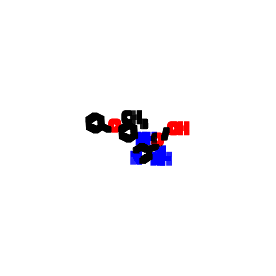 Cc1cc(Nc2cncc3[nH]nc(OCCO)c23)ccc1OCc1ccccc1